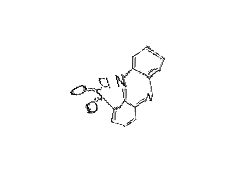 O=S(=O)(Cl)c1cccc2nc3ccccc3nc12